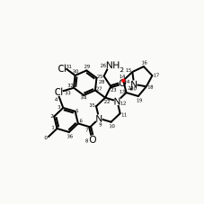 Cc1cc(C)cc(C(=O)N2CCN(C3CC4CCC(C3)N4C)C(C(=O)CN)(c3ccc(Cl)c(Cl)c3)C2)c1